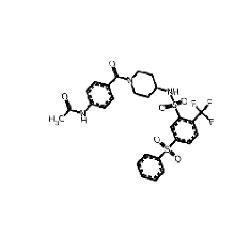 CC(=O)Nc1ccc(C(=O)N2CCC(NS(=O)(=O)c3cc(S(=O)(=O)c4ccccc4)ccc3C(F)(F)F)CC2)cc1